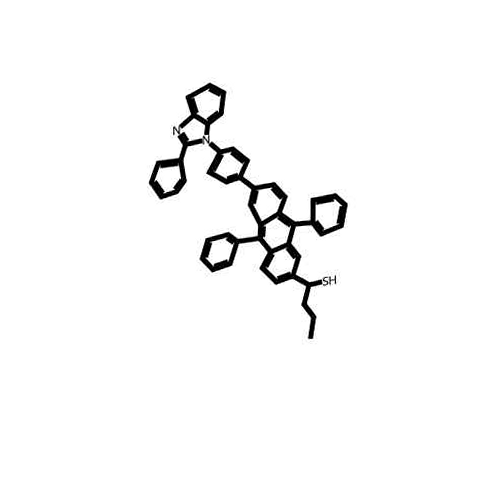 CCCC(S)c1ccc2c(-c3ccccc3)c3cc(-c4ccc(-n5c(-c6ccccc6)nc6ccccc65)cc4)ccc3c(-c3ccccc3)c2c1